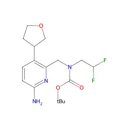 CC(C)(C)OC(=O)N(Cc1nc(N)ccc1C1CCOC1)CC(F)F